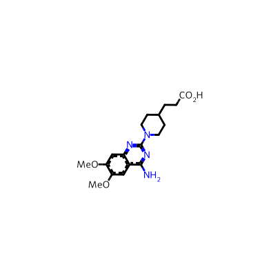 COc1cc2nc(N3CCC(CCC(=O)O)CC3)nc(N)c2cc1OC